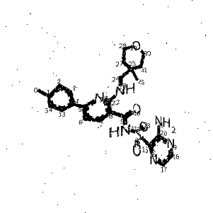 Cc1ccc(-c2ccc(C(=O)NS(=O)(=O)c3nccnc3N)c(NCC3(C)CCOCC3)n2)cc1